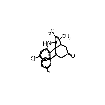 CC=C(C)C1CC(=O)CC(c2cccc(Cl)c2)C12C(=O)Nc1cc(Cl)ccc12